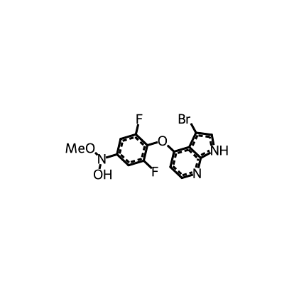 CON(O)c1cc(F)c(Oc2ccnc3[nH]cc(Br)c23)c(F)c1